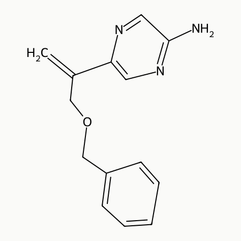 C=C(COCc1ccccc1)c1cnc(N)cn1